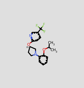 CC(C)Oc1ccccc1N1CC[C@H](Oc2ccc(C(F)(F)F)cn2)C1